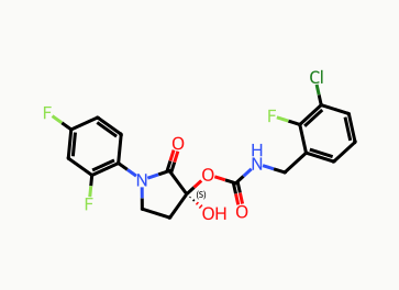 O=C(NCc1cccc(Cl)c1F)O[C@@]1(O)CCN(c2ccc(F)cc2F)C1=O